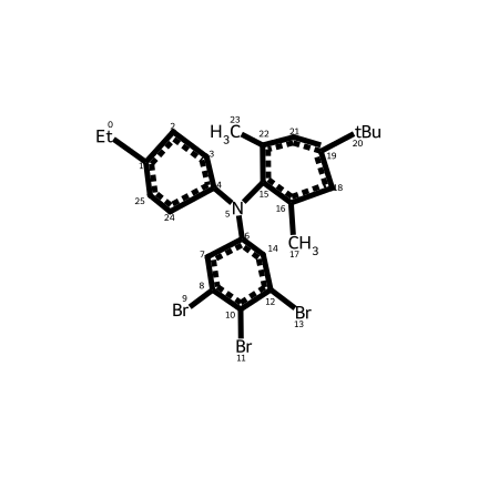 CCc1ccc(N(c2cc(Br)c(Br)c(Br)c2)c2c(C)cc(C(C)(C)C)cc2C)cc1